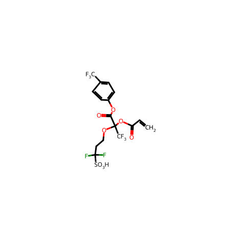 C=CC(=O)OC(OCCC(F)(F)S(=O)(=O)O)(C(=O)Oc1ccc(C(F)(F)F)cc1)C(F)(F)F